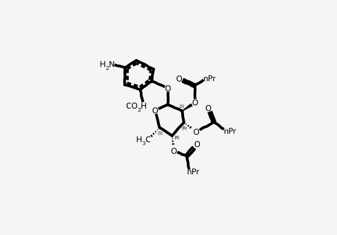 CCCC(=O)O[C@@H]1[C@H](OC(=O)CCC)[C@H](C)OC(Oc2ccc(N)cc2C(=O)O)[C@H]1OC(=O)CCC